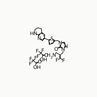 NCC(Cn1ncn(Cc2ccc(-c3cnc4c(c3)CCCN4)s2)c1=O)=C(F)F.O=C(O)C(F)(F)F.O=C(O)C(F)(F)F